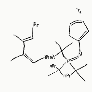 CC(=CC(C)C)C(C)=CC(C)C.CCCC(C)(C)P(=NC1=CC=CC1)(C(C)(C)CCC)C(C)(C)CCC.[Ti]